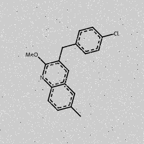 COc1nc2ccc(C)cc2cc1Cc1ccc(Cl)cc1